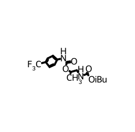 CC(C)COC(=O)NCC(C)OC(=O)Nc1ccc(C(F)(F)F)cc1